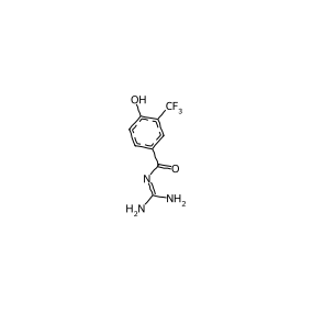 NC(N)=NC(=O)c1ccc(O)c(C(F)(F)F)c1